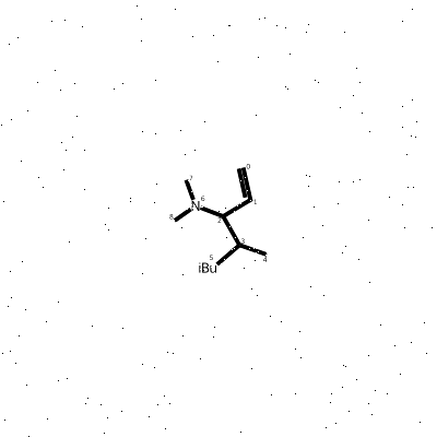 C=CC(C(C)C(C)CC)N(C)C